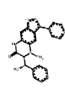 C[C@H](c1ccccc1)C1C(=O)Nc2cc3[nH]nc(-c4ccncc4)c3cc2N1C